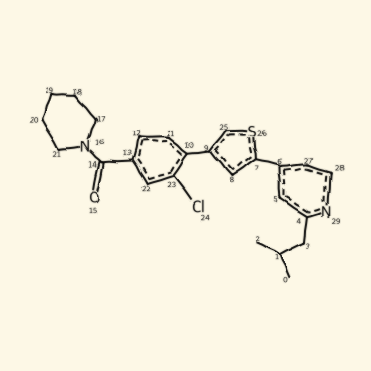 CC(C)Cc1cc(-c2cc(-c3ccc(C(=O)N4CCCCC4)cc3Cl)cs2)ccn1